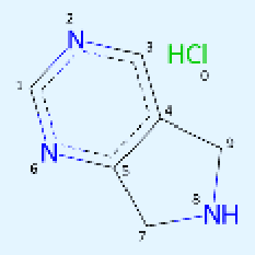 Cl.c1ncc2c(n1)CNC2